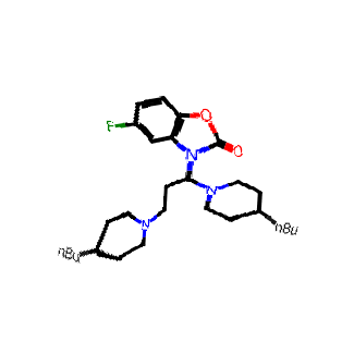 CCCCC1CCN(CCC(N2CCC(CCCC)CC2)n2c(=O)oc3ccc(F)cc32)CC1